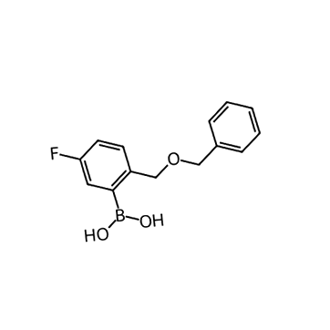 OB(O)c1cc(F)ccc1COCc1ccccc1